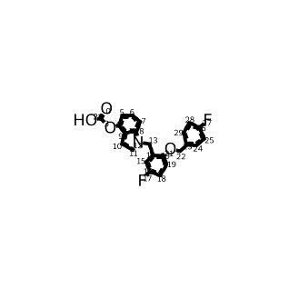 O=C(O)Oc1cccc2c1ccn2Cc1cc(F)ccc1OCc1ccc(F)cc1